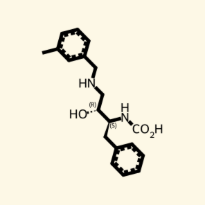 Cc1cccc(CNC[C@@H](O)[C@H](Cc2ccccc2)NC(=O)O)c1